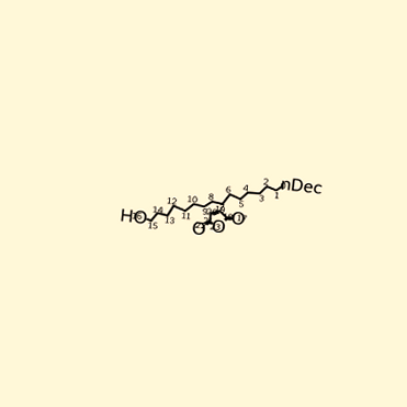 CCCCCCCCCCCCCCCCCCCCCCCCCO.O=C1C=CC(=O)O1